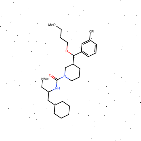 CNCC(CC1CCCCC1)NC(=O)N1CCCC(C(OCCCOC)c2cccc(C#N)c2)C1